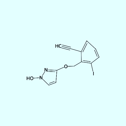 C#Cc1cccc(I)c1COc1ccn(O)n1